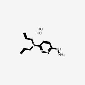 C=CCN(CC=C)c1ccc(NN)nn1.Cl.Cl